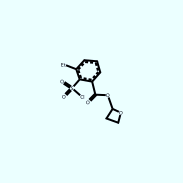 CCc1cccc(C(=O)OC2CCO2)c1S(=O)(=O)Cl